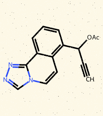 C#CC(OC(C)=O)c1cccc2c1ccn1cnnc21